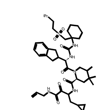 C=CCNC(=O)C(=O)C(CC1CC1)NC(=O)[C@@H]1CC(C)(C)C(C)CN1C(=O)[C@@H](NC(=O)NC1(CS(=O)(=O)CCC(C)C)CCCCC1)C1Cc2ccccc2C1